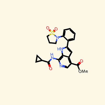 COC(=O)c1cnc(NC(=O)C2CC2)c2[nH]c(-c3ccccc3N3CCCS3(=O)=O)cc12